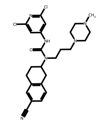 CN1CCN(CCCN(C(=O)Nc2cc(Cl)nc(Cl)c2)C2CCc3cc(C#N)ccc3C2)CC1